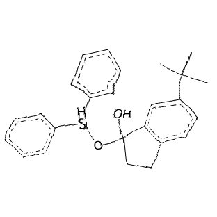 CC(C)(C)c1ccc2c(c1)C(O)(O[SiH](c1ccccc1)c1ccccc1)CC2